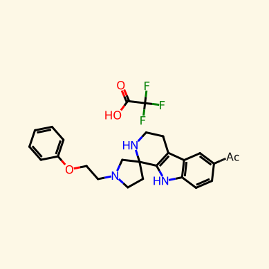 CC(=O)c1ccc2[nH]c3c(c2c1)CCNC31CCN(CCOc2ccccc2)C1.O=C(O)C(F)(F)F